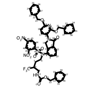 O=C(NCC(CCN(c1cccc2c1CN(c1ccc(OCc3ccccc3)nc1OCc1ccccc1)C2=O)S(=O)(=O)c1ccc([N+](=O)[O-])cc1[N+](=O)[O-])C(F)(F)F)OCc1ccccc1